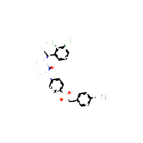 CC(NC(=O)Nc1ccc(S(=O)(=O)Cc2ccc(C#N)cc2)cc1)c1cccc(Cl)c1Cl